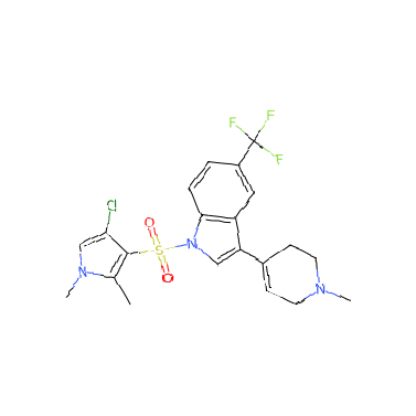 Cc1c(S(=O)(=O)n2cc(C3=CCN(C)CC3)c3cc(C(F)(F)F)ccc32)c(Cl)cn1C